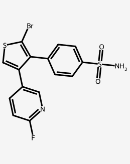 NS(=O)(=O)c1ccc(-c2c(-c3ccc(F)nc3)csc2Br)cc1